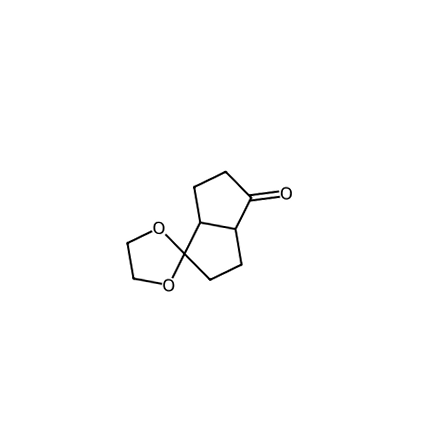 O=C1CCC2C1CCC21OCCO1